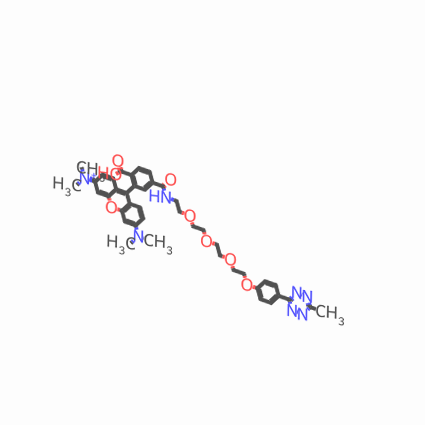 Cc1nnc(-c2ccc(OCCOCCOCCOCCNC(=O)c3ccc(C(=O)O)c(-c4c5ccc(=[N+](C)C)cc-5oc5cc(N(C)C)ccc45)c3)cc2)nn1